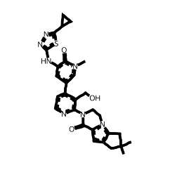 Cn1cc(-c2ccnc(N3CCn4c(cc5c4CC(C)(C)C5)C3=O)c2CO)cc(Nc2nnc(C3CC3)s2)c1=O